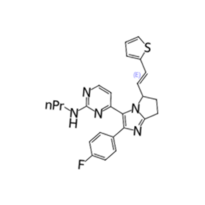 CCCNc1nccc(-c2c(-c3ccc(F)cc3)nc3n2C(/C=C/c2cccs2)CC3)n1